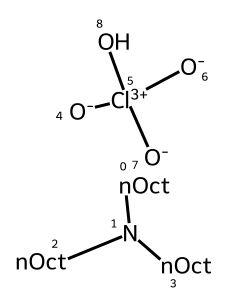 CCCCCCCCN(CCCCCCCC)CCCCCCCC.[O-][Cl+3]([O-])([O-])O